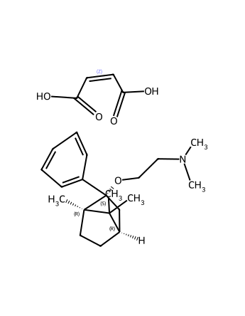 CN(C)CCO[C@]1(c2ccccc2)C[C@H]2CC[C@]1(C)C2(C)C.O=C(O)/C=C\C(=O)O